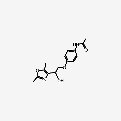 CC(=O)Nc1ccc(OCC(O)c2nc(C)oc2C)cc1